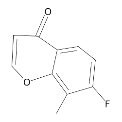 Cc1c(F)ccc2c(=O)ccoc12